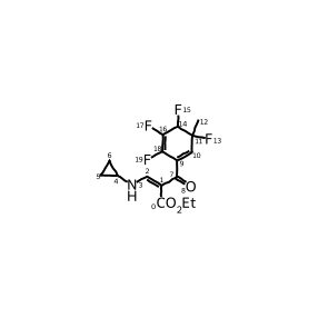 CCOC(=O)C(=CNC1CC1)C(=O)C1=CC(C)(F)C(F)C(F)=C1F